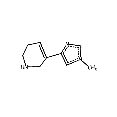 Cn1cnc(C2=CCCNC2)c1